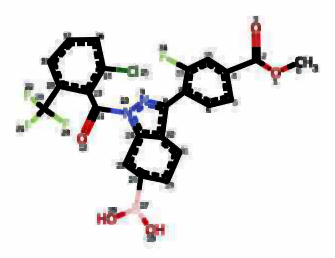 COC(=O)c1ccc(-c2nn(C(=O)c3c(Cl)cccc3C(F)(F)F)c3cc(B(O)O)ccc23)c(F)c1